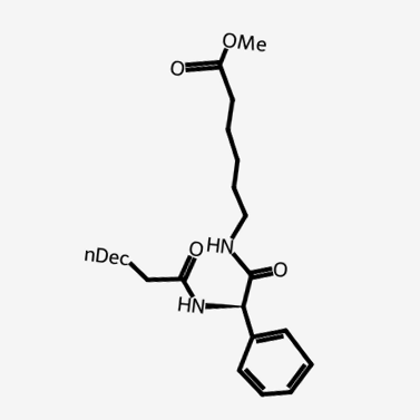 CCCCCCCCCCCC(=O)N[C@@H](C(=O)NCCCCCC(=O)OC)c1ccccc1